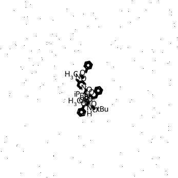 CCCC[Si](C)(C)O[C@H](C[C@H](Cc1ccccc1)C(=O)N[C@H](C(=O)N1CCC(CN(C)C(=O)OCc2ccccc2)CC1)C(C)C)[C@H](Cc1ccccc1)NC(=O)OC(C)(C)C